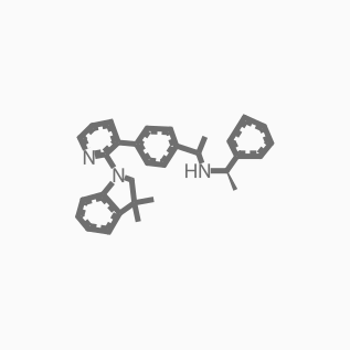 CC(N[C@H](C)c1ccccc1)c1ccc(-c2cccnc2N2CC(C)(C)c3ccccc32)cc1